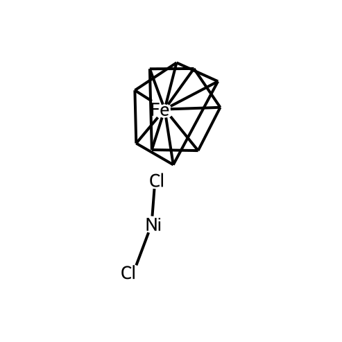 [CH]12[CH]3[CH]4[CH]5[CH]1[Fe]23451678[CH]2[CH]1[CH]6[CH]7[CH]28.[Cl][Ni][Cl]